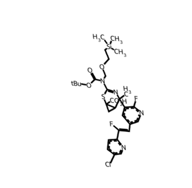 CC(C)(C)OC(=O)N(COCC[Si](C)(C)C)C1=NC(C)(c2cc(C=C(F)c3ccc(Cl)cn3)cnc2F)C2CC2(C(=O)O)S1